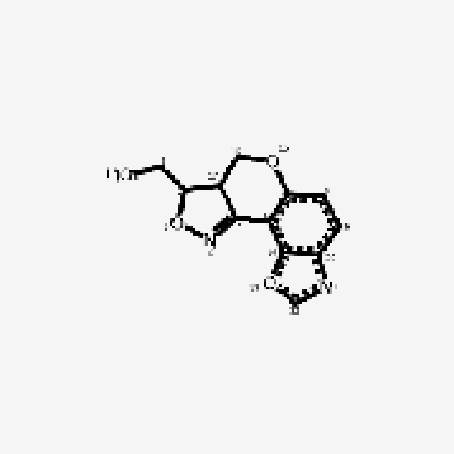 OCC1ON=C2c3c(ccc4ncoc34)OCC21